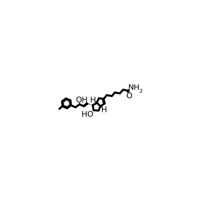 Cc1cccc(C[C@H](O)/C=C/[C@@H]2[C@H]3CC(CCCCCC(N)=O)=C[C@H]3C[C@H]2O)c1